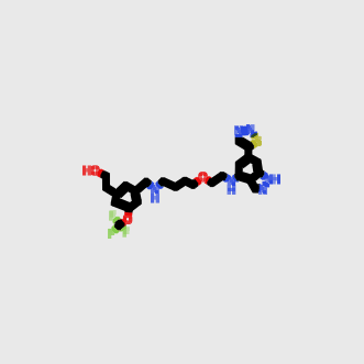 OCCc1cc(CNCCCCOCCNc2cc(-c3cnns3)cc3[nH]ncc23)cc(OC(F)(F)F)c1